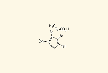 Brc1cc[c]([Sn])c(Br)c1Br.C=CC(=O)O